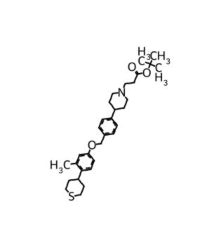 Cc1cc(OCc2ccc(C3CCN(CCC(=O)OC(C)(C)C)CC3)cc2)ccc1C1CCSCC1